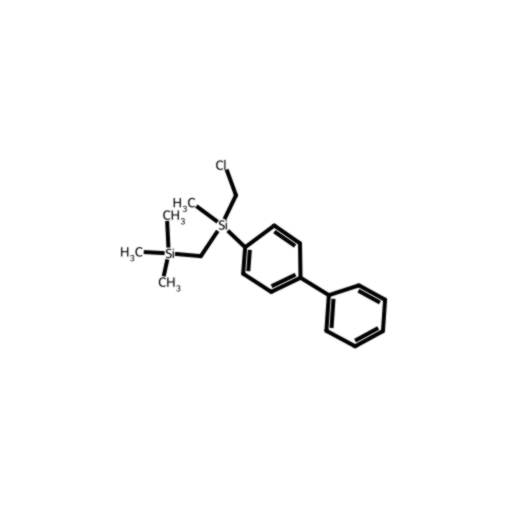 C[Si](C)(C)C[Si](C)(CCl)c1ccc(-c2ccccc2)cc1